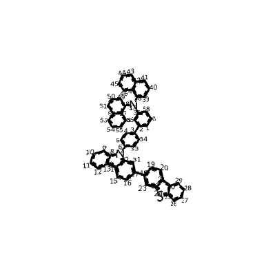 c1cc(-c2ccc(-n3c4ccccc4c4ccc(-c5ccc6c(c5)sc5ccccc56)cc43)cc2)cc(N(c2cccc3ccccc23)c2cccc3ccccc23)c1